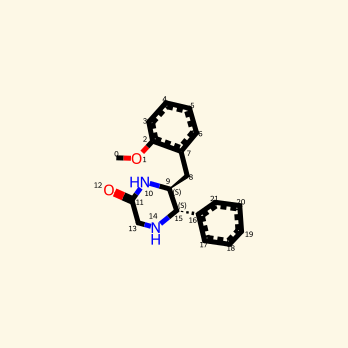 COc1ccccc1C[C@@H]1NC(=O)CN[C@H]1c1ccccc1